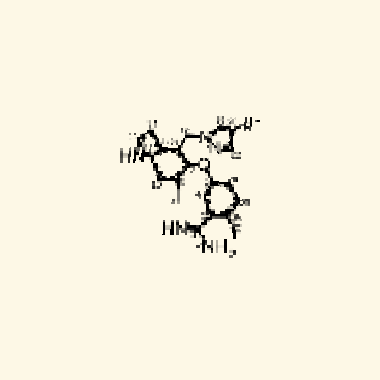 N=C(N)c1cc(Oc2c(F)cc3[nH]ccc3c2Cn2cc(Br)cn2)ccc1F